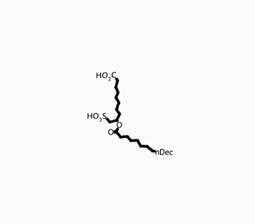 CCCCCCCCCCCCCCCCCC(=O)OC(CCCCCCCC(=O)O)CS(=O)(=O)O